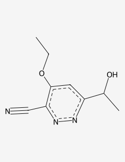 CCOc1cc(C(C)O)nnc1C#N